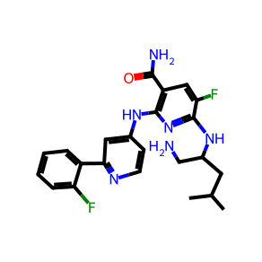 CC(C)CC(CN)Nc1nc(Nc2ccnc(-c3ccccc3F)c2)c(C(N)=O)cc1F